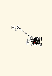 CCCCCCCCCCCCCCCCCCOCC(O)CC(C[N+](C)(C)C)OP(=O)([O-])O